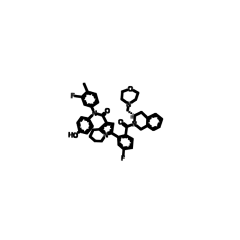 Cc1ccc(N(C(=O)c2cc(-c3cc(F)ccc3C(=O)N3Cc4ccccc4C[C@H]3CN3CCOCC3)n3c2CCCC3)c2ccc(O)cc2)cc1F